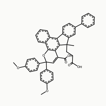 COc1ccc(C2(c3ccc(OC)cc3)C=C(C(=O)O)c3c4c(c5ccccc5c3O2)-c2ccc(-c3ccccc3)cc2C4(C)CCC(=O)O)cc1